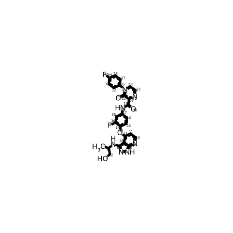 CC(CO)Nc1n[nH]c2nccc(Oc3ccc(NC(=O)c4nccn(-c5ccc(F)cc5)c4=O)cc3F)c12